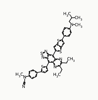 CCc1nc2c(-c3ccc(-c4ccc(N(C)C#N)cc4)s3)c3nsnc3c(-c3cc4sc(-c5ccc(N(C)CC(C)C)cc5)cc4s3)c2nc1CC